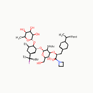 CCCCCC(C)C1CCC(C[C@H](OC2C(NC(C)=O)[C@H](O[C@@H]3CC(C(I)(CC)CCCC)CC(CC)C3O[C@@H]3OC(C)[C@@H](O)C(O)C3O)OC(CO)[C@@H]2O)C(=O)N2CCC2)CC1